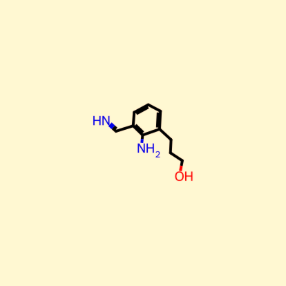 N=Cc1cccc(CCCO)c1N